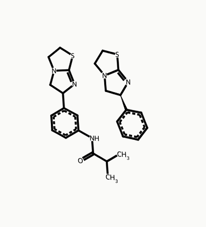 CC(C)C(=O)Nc1cccc(C2CN3CCSC3=N2)c1.c1ccc([C@H]2CN3CCSC3=N2)cc1